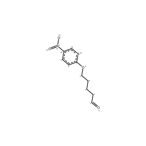 O=CCCCCOc1ccc([N+](=O)[O-])cn1